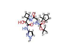 Cn1ccc(NC(=O)C(O)C2(NC(=O)[C@H](CC3(C)CCCC3)NC(=O)OC(C)(C)C)CCC2)n1